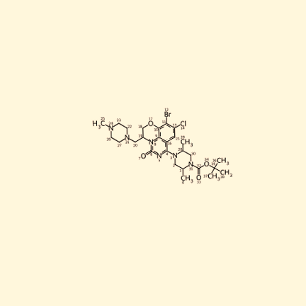 CC1CN(c2nc(=O)n3c4c(c(Br)c(Cl)cc24)OCC3CN2CCN(C)CC2)C(C)CN1C(=O)OC(C)(C)C